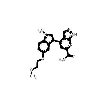 COCCOc1ccc2c(c1)c(-c1cc(C(N)=O)nc3[nH]ncc13)cn2C